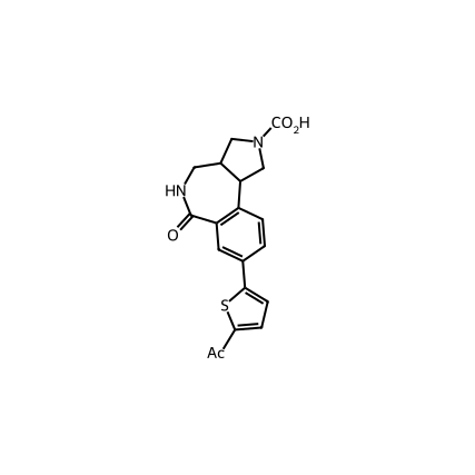 CC(=O)c1ccc(-c2ccc3c(c2)C(=O)NCC2CN(C(=O)O)CC32)s1